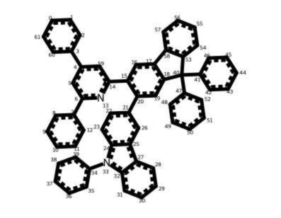 c1ccc(-c2cc(-c3ccccc3)nc(-c3cc4c(cc3-c3ccc5c(c3)c3ccccc3n5-c3ccccc3)C(c3ccccc3)(c3ccccc3)c3ccccc3-4)c2)cc1